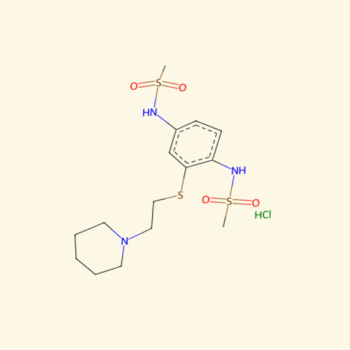 CS(=O)(=O)Nc1ccc(NS(C)(=O)=O)c(SCCN2CCCCC2)c1.Cl